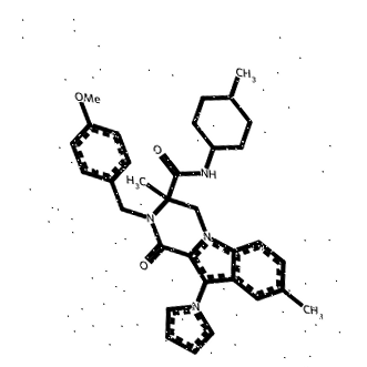 COc1ccc(CN2C(=O)c3c(-n4cccc4)c4cc(C)ccc4n3CC2(C)C(=O)NC2CCC(C)CC2)cc1